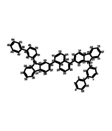 c1ccc(-c2cccc(-n3c4ccccc4c4ccc(-c5cccc6c(-c7ccc8c9ccccc9n(-c9cccc(-c%10ccccc%10)c9)c8c7)cccc56)cc43)c2)cc1